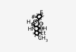 CCc1c(C)ccc2[nH]c(=O)c(C(=O)N(C)c3ccc(F)cc3F)c(O)c12